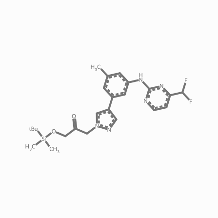 Cc1cc(Nc2nccc(C(F)F)n2)cc(-c2cnn(CC(=O)CO[Si](C)(C)C(C)(C)C)c2)c1